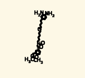 CC1(C)OCc2cc([C@@H]3CN(CCCCCCOCCCCc4ccc(N)c(N)c4)C(=O)O3)ccc2O1